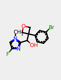 Cn1cc(F)nc1C(O)C1(c2cccc(Br)c2)COC1